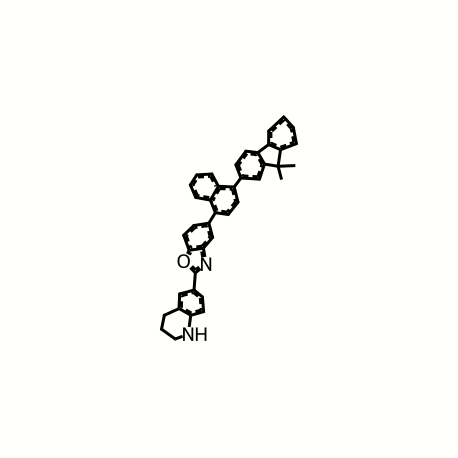 CC1(C)c2ccccc2-c2ccc(-c3ccc(-c4ccc5oc(-c6ccc7c(c6)CCCN7)nc5c4)c4ccccc34)cc21